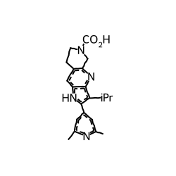 Cc1cc(-c2[nH]c3cc4c(nc3c2C(C)C)CN(C(=O)O)CC4)cc(C)n1